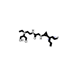 C=C/C=C(\C=C\F)C1CC1NCC(=O)NCCN(CC)C(CO)CCl